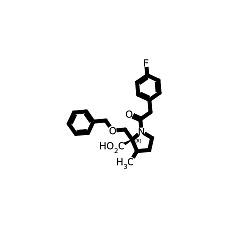 CC1CCN(C(=O)Cc2ccc(F)cc2)[C@]1(COCc1ccccc1)C(=O)O